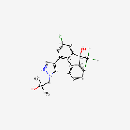 CC(C)(O)Cn1cc(-c2cc(F)cc3c2-c2ccccc2C3(O)C(F)(F)F)cn1